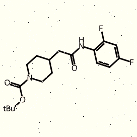 CC(C)(C)OC(=O)N1CCC(CC(=O)Nc2ccc(F)cc2F)CC1